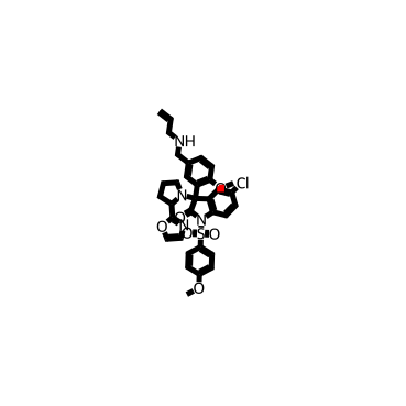 C=CCNCc1ccc(OC)c(C2(N3CCCC3c3ncco3)C(=O)N(S(=O)(=O)c3ccc(OC)cc3)c3ccc(Cl)cc32)c1